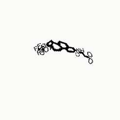 COC(=O)CCC(=O)Nc1ccc2c(c1)CCC1C2CC[C@]2(C)C(OS(=O)(=O)C(F)(F)F)=CCC12